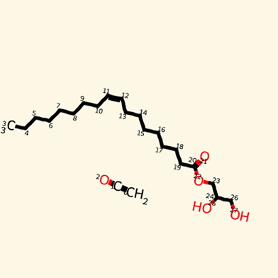 C=C=O.CCCCCCCC/C=C\CCCCCCCC(=O)OCC(O)CO